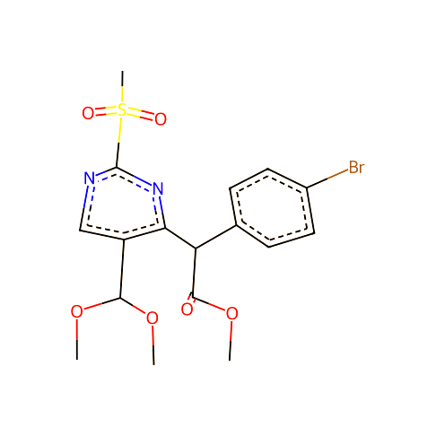 COC(=O)C(c1ccc(Br)cc1)c1nc(S(C)(=O)=O)ncc1C(OC)OC